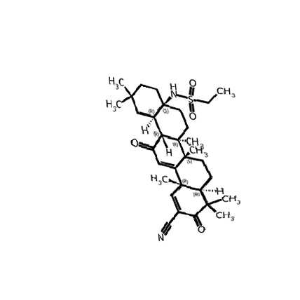 CCS(=O)(=O)N[C@]12CCC(C)(C)C[C@@H]1[C@H]1C(=O)C=C3[C@@]4(C)C=C(C#N)C(=O)C(C)(C)[C@@H]4CC[C@@]3(C)[C@]1(C)CC2